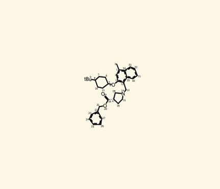 Cc1cc(OC2CCC(C(C)(C)C)CC2)c(CN2CC[C@H](C(=O)OCc3ccccc3)C2)c2ccccc12